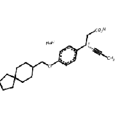 CC#C[C@@H](CC(=O)O)c1ccc(OCC2CCC3(CCCC3)CC2)cc1.[NaH]